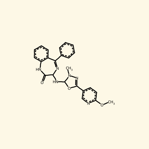 COc1ccc(C2=NN(C)C(NC3N=C(c4ccccc4)c4ccccc4NC3=O)O2)cn1